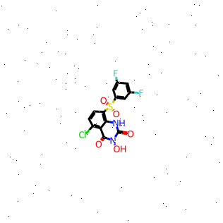 O=c1[nH]c2c(S(=O)(=O)c3cc(F)cc(F)c3)ccc(Cl)c2c(=O)n1O